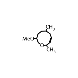 COC1CCC(C)CC=CC(C)OC1